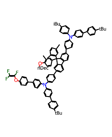 CCCCCCCCCCOc1ccc(C2(c3cc(C)ccc3C)c3cc(-c4ccc(N(c5ccc(-c6ccc(OC(F)=C(F)F)cc6)cc5)c5ccc(-c6ccc(C(C)(C)C)cc6)cc5)cc4)ccc3-c3ccc(-c4ccc(N(c5ccc(-c6ccc(C(C)(C)C)cc6)cc5)c5ccc(C(C)CC)cc5)cc4)cc32)cc1C